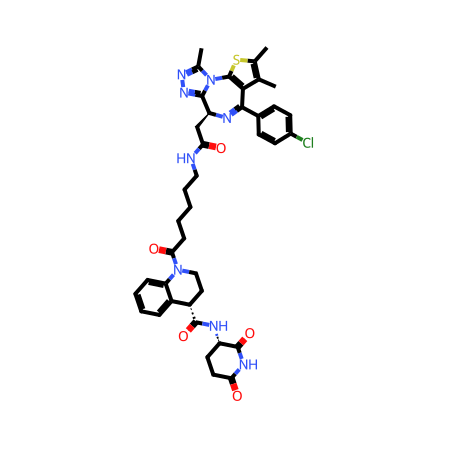 Cc1sc2c(c1C)C(c1ccc(Cl)cc1)=N[C@@H](CC(=O)NCCCCCC(=O)N1CC[C@H](C(=O)N[C@H]3CCC(=O)NC3=O)c3ccccc31)c1nnc(C)n1-2